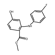 COC(=O)c1ccc(O)cc1Nc1ccc(F)cc1